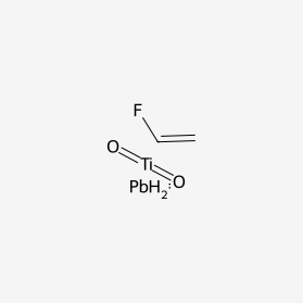 C=CF.[O]=[Ti]=[O].[PbH2]